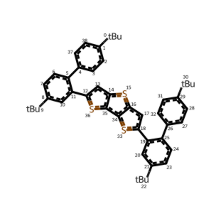 CC(C)(C)c1ccc(-c2ccc(C(C)(C)C)cc2-c2cc3sc4cc(-c5cc(C(C)(C)C)ccc5-c5ccc(C(C)(C)C)cc5)sc4c3s2)cc1